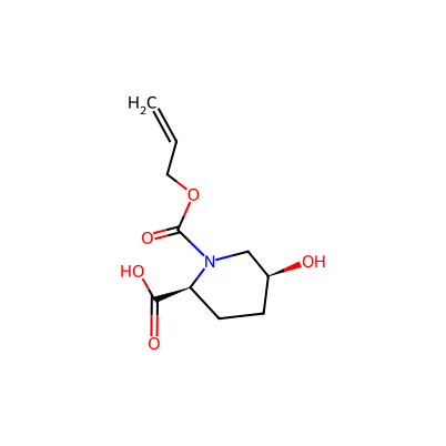 C=CCOC(=O)N1C[C@@H](O)CC[C@H]1C(=O)O